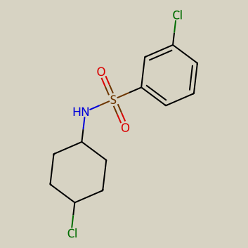 O=S(=O)(NC1CCC(Cl)CC1)c1cccc(Cl)c1